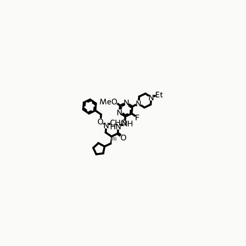 CCN1CCN(c2nc(OC)nc(NNC(=O)[C@@H](CC3CCCC3)CN(C=O)OCc3ccccc3)c2F)CC1